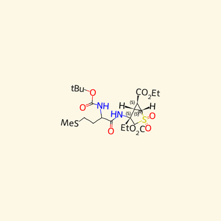 CCOC(=O)[C@@H]1[C@@H]2[C@H]1S(=O)(=O)C[C@@]2(NC(=O)C(CCSC)NC(=O)OC(C)(C)C)C(=O)OCC